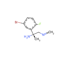 C=NC[C@](C)(N)c1cc(Br)ccc1F